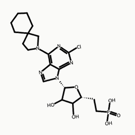 O=P(O)(O)CC[C@H]1O[C@@H](n2cnc3c(N4CCC5(CCCCC5)C4)nc(Cl)nc32)C(O)C1O